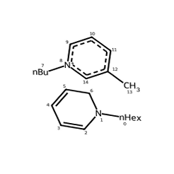 CCCCCCN1C=CC=CC1.CCCC[n+]1cccc(C)c1